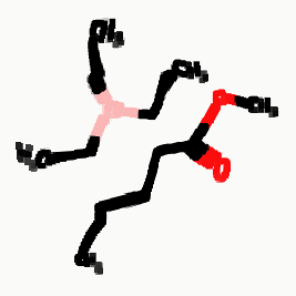 CCB(CC)CC.CCCCC(=O)OC